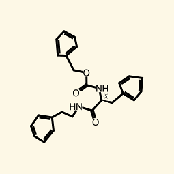 O=C(N[C@@H](Cc1ccccc1)C(=O)NCCc1ccccc1)OCc1ccccc1